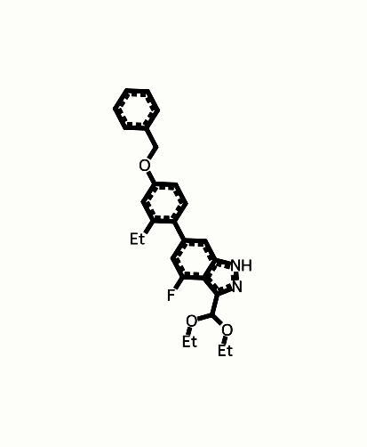 CCOC(OCC)c1n[nH]c2cc(-c3ccc(OCc4ccccc4)cc3CC)cc(F)c12